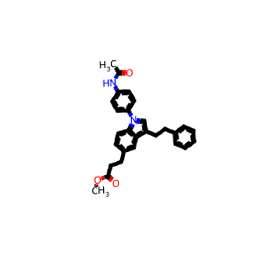 COC(=O)CCc1ccc2c(c1)c(CCc1ccccc1)cn2-c1ccc(NC(C)=O)cc1